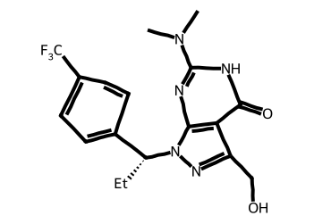 CC[C@H](c1ccc(C(F)(F)F)cc1)n1nc(CO)c2c(=O)[nH]c(N(C)C)nc21